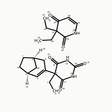 CCC1(C2=C[C@H]3CC[C@@H](C2)C3)C(=O)NC(=O)NC1=O.CCC1(CC)C(=O)C=CNC1=O